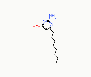 CCCCCCCCc1cc(O)nc(N)n1